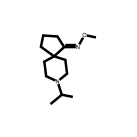 CO/N=C1\CCCC12CCN(C(C)C)CC2